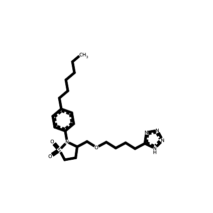 CCCCCCc1ccc(N2C(COCCCCc3nnn[nH]3)CCS2(=O)=O)cc1